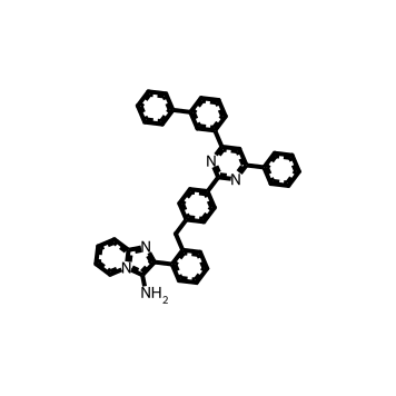 Nc1c(-c2ccccc2Cc2ccc(-c3nc(-c4ccccc4)cc(-c4cccc(-c5ccccc5)c4)n3)cc2)nc2ccccn12